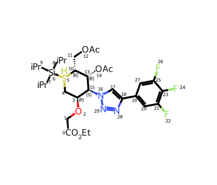 CCOC(=O)CO[C@H]1C[SH]([Si](C(C)C)(C(C)C)C(C)C)[C@H](COC(C)=O)[C@H](OC(C)=O)[C@H]1n1cc(-c2cc(F)c(F)c(F)c2)nn1